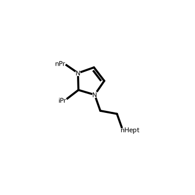 CCCCCCCCCN1C=CN(CCC)C1C(C)C